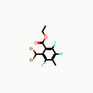 CCOC(=O)c1c(F)c(F)c(C)c(F)c1C(Br)Br